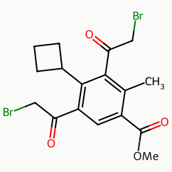 COC(=O)c1cc(C(=O)CBr)c(C2CCC2)c(C(=O)CBr)c1C